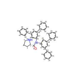 O=C([C@@H]1CCCN1)N(c1cc(-c2ccccc2)cc(-c2ccccc2)c1)c1cc(-c2ccccc2)cc(-c2ccccc2)c1